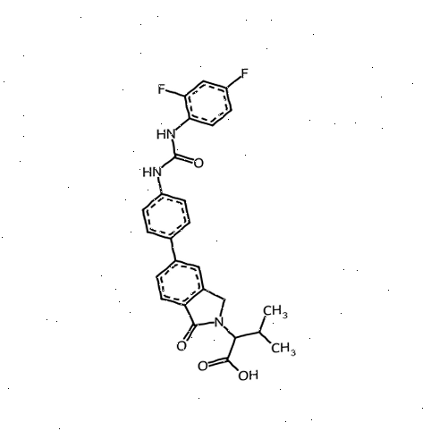 CC(C)C(C(=O)O)N1Cc2cc(-c3ccc(NC(=O)Nc4ccc(F)cc4F)cc3)ccc2C1=O